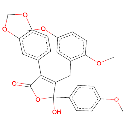 COc1ccc(C2(O)OC(=O)C(c3ccc4c(c3)OCO4)=C2Cc2cc(OC)ccc2OC)cc1